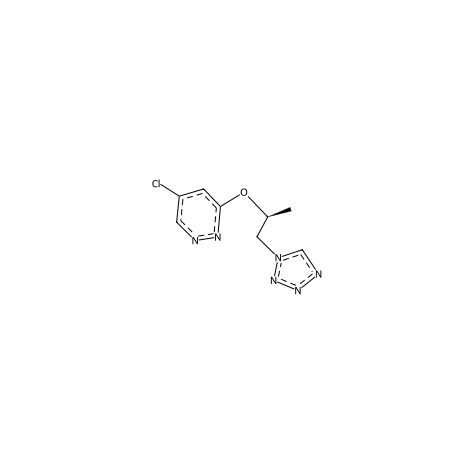 C[C@@H](Cn1cnnn1)Oc1cc(Cl)cnn1